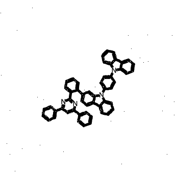 c1ccc(-c2cc(-c3ccccc3)nc(-c3ccccc3-c3ccc4c5ccccc5n(-c5ccc(-n6c7ccccc7c7ccccc76)cc5)c4c3)n2)cc1